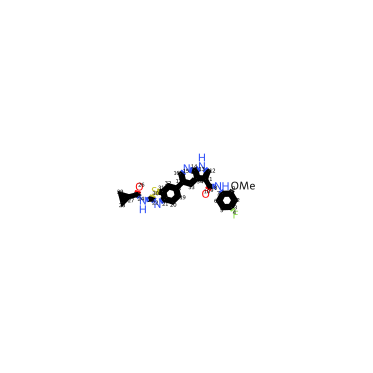 COc1cc(F)ccc1NC(=O)c1c[nH]c2ncc(-c3ccc4nc(NC(=O)C5CC5)sc4c3)cc12